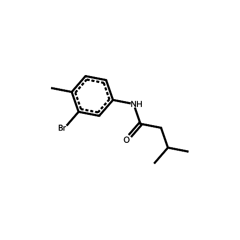 Cc1ccc(NC(=O)CC(C)C)cc1Br